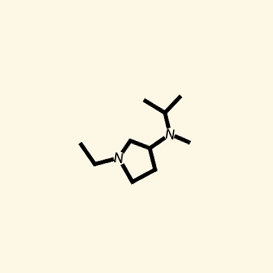 CCN1CCC(N(C)C(C)C)C1